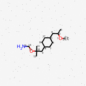 CCOC(C)CC1CCC(CC(C)(C)OCN)CC1